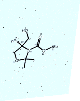 CCC[C@]1(CO)COC(C)(C)N1C(=O)OC(C)(C)C